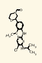 COc1cc(C2CN(C=O)CCO2)ccc1Nc1ncc(Cl)c(NC(C)C)n1